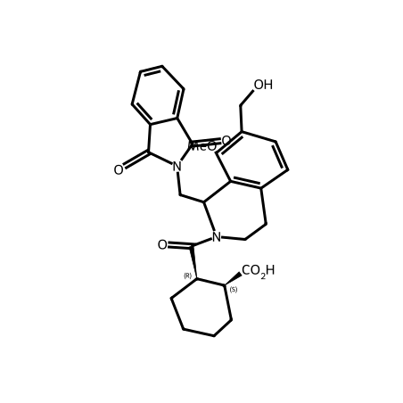 COc1c(CO)ccc2c1C(CN1C(=O)c3ccccc3C1=O)N(C(=O)[C@@H]1CCCC[C@@H]1C(=O)O)CC2